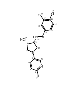 Cl.Fc1ccc(N2CC[C@H](NCc3ccc(Cl)c(Cl)c3)C2)cn1